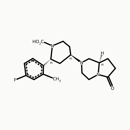 Cc1cc(F)ccc1[C@H]1C[C@H](N2CCN3C(=O)CC[C@@H]3C2)CCN1C(=O)O